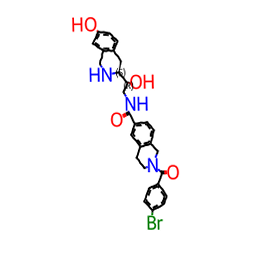 O=C(NC[C@@H](O)[C@@H]1Cc2ccc(O)cc2CN1)c1ccc2c(c1)CCN(C(=O)c1ccc(Br)cc1)C2